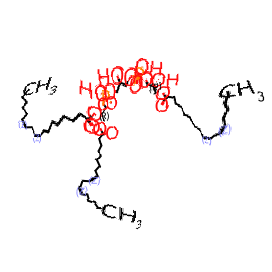 CCCCC/C=C\C/C=C\CCCCCCCC(=O)OC[C@@H](O)COP(=O)(O)OCC(O)COP(=O)(O)OC[C@@H](COC(=O)CCCCCCC/C=C\C/C=C\CCCCC)OC(=O)CCCCCCC/C=C\C/C=C\CCCCC